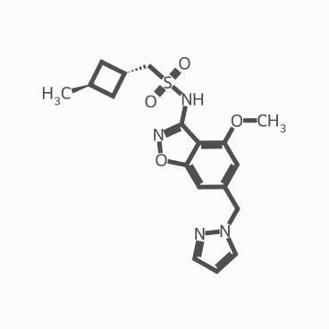 COc1cc(Cn2cccn2)cc2onc(NS(=O)(=O)C[C@H]3C[C@H](C)C3)c12